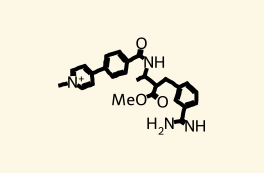 COC(=O)C(Cc1cccc(C(=N)N)c1)C(C)NC(=O)c1ccc(-c2cc[n+](C)cc2)cc1